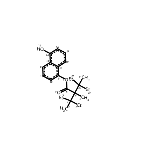 CCC(C)(CC)C(C)(C(=O)Oc1cccc2c(O)cccc12)C(C)(CC)CC